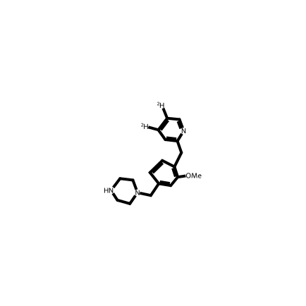 [2H]c1cnc(Cc2ccc(CN3CCNCC3)cc2OC)cc1[2H]